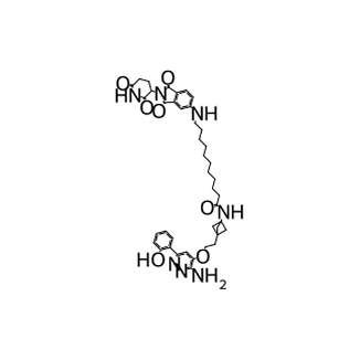 Nc1nnc(-c2ccccc2O)cc1OCCC12CC(NC(=O)CCCCCCCCCCNc3ccc4c(c3)C(=O)N(C3CCC(=O)NC3=O)C4=O)(C1)C2